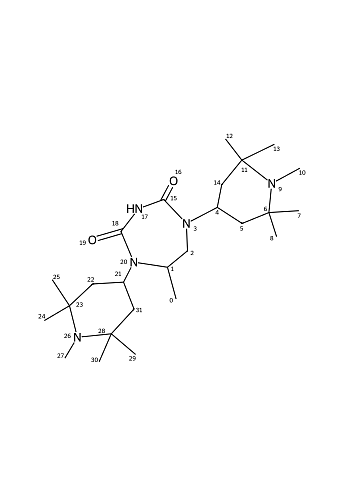 CC1CN(C2CC(C)(C)N(C)C(C)(C)C2)C(=O)NC(=O)N1C1CC(C)(C)N(C)C(C)(C)C1